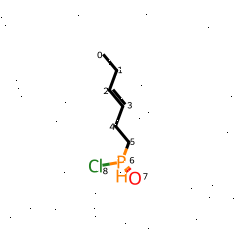 CCC=CCC[PH](=O)Cl